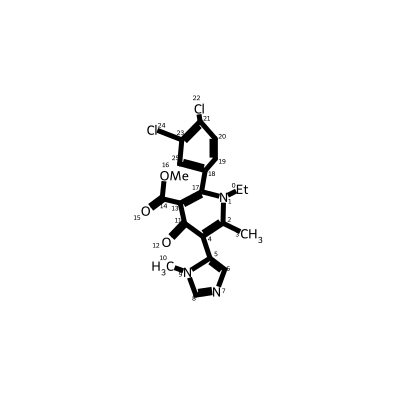 CCn1c(C)c(-c2cncn2C)c(=O)c(C(=O)OC)c1-c1ccc(Cl)c(Cl)c1